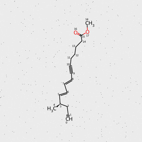 C#CC[C@@H](C)/C=C/C=C/C#CCCCCC(=O)OC